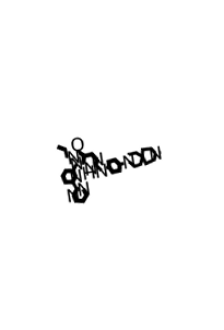 C=CCn1c(=O)c2cnc(Nc3ccc(N4CCC5(CCN(C)CC5)CC4)cc3)nc2n1-c1cccc(-c2ncccn2)n1